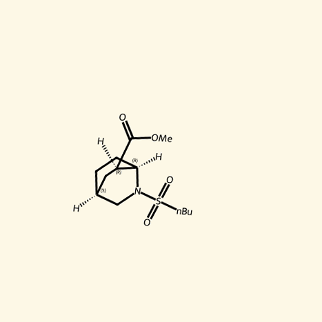 CCCCS(=O)(=O)N1C[C@H]2CC[C@@H]1[C@H](C(=O)OC)C2